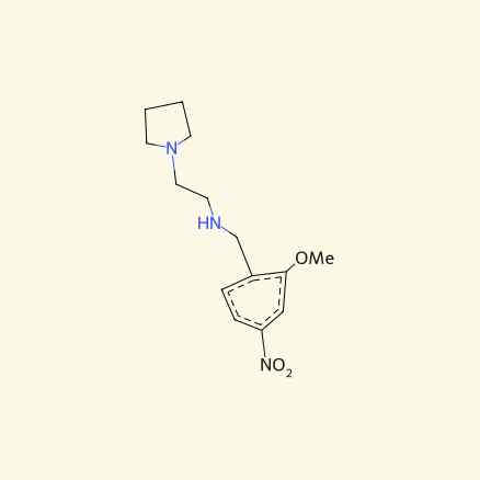 COc1cc([N+](=O)[O-])ccc1CNCCN1CCCC1